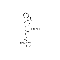 CN(C)C1(c2ccccc2)CCC(CNCCc2c[nH]c3ccccc23)CC1.Cl.Cl